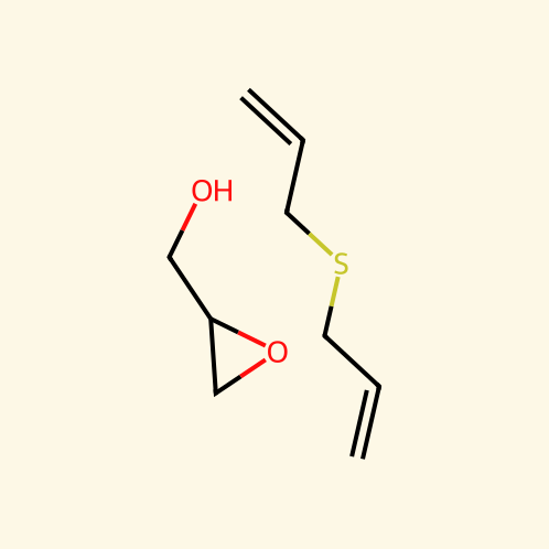 C=CCSCC=C.OCC1CO1